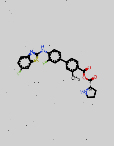 Cc1cc(-c2ccc(Nc3nc4ccc(F)cc4s3)c(F)c2)ccc1C(=O)OC(=O)[C@@H]1CCCN1